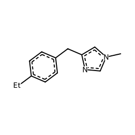 CCc1ccc(Cc2cn(C)cn2)cc1